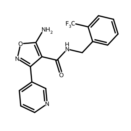 Nc1onc(-c2cccnc2)c1C(=O)NCc1ccccc1C(F)(F)F